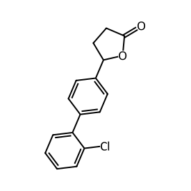 O=C1CCC(c2ccc(-c3ccccc3Cl)cc2)O1